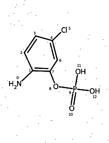 Nc1ccc(Cl)cc1OP(=O)(O)O